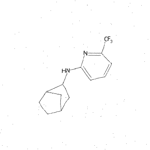 FC(F)(F)c1cccc(NC2CC3CCC2C3)n1